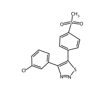 CS(=O)(=O)c1ccc(-c2snnc2-c2cccc(Cl)c2)cc1